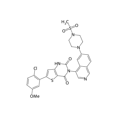 COc1ccc(Cl)c(-c2cc3[nH]c(=O)n(-c4cncc5ccc(N6CCN(S(C)(=O)=O)CC6)cc45)c(=O)c3s2)c1